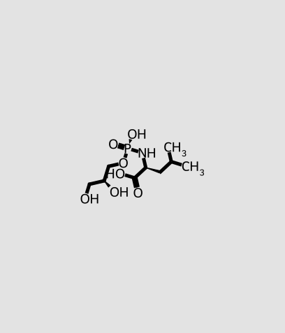 CC(C)C[C@H](N[P@](=O)(O)OC[C@@H](O)CO)C(=O)O